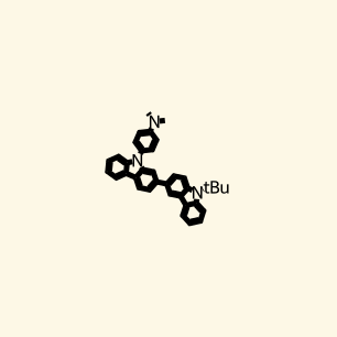 CN(C)c1ccc(-n2c3ccccc3c3ccc(-c4ccc5c(c4)c4ccccc4n5C(C)(C)C)cc32)cc1